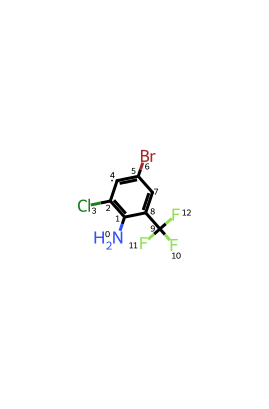 Nc1c(Cl)[c]c(Br)cc1C(F)(F)F